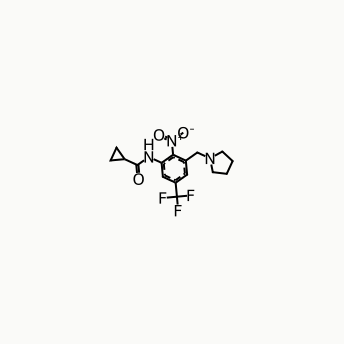 O=C(Nc1cc(C(F)(F)F)cc(CN2CCCC2)c1[N+](=O)[O-])C1CC1